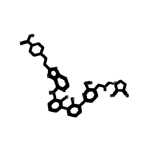 CCCC(=O)C1CCC(CCc2nc3c(Nc4cccc(-c5cccc(-c6ccc(CNC[C@@H]7CCC(=O)C7=N)c(OC)n6)c5Cl)c4Cl)nccc3s2)CC1